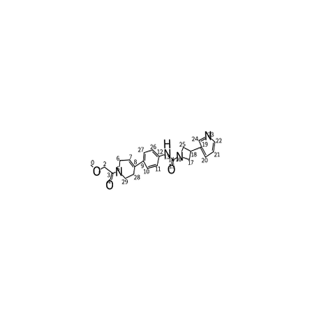 COCC(=O)N1CC=C(c2ccc(NC(=O)N3CC(c4cccnc4)C3)cc2)CC1